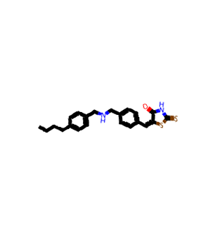 CCCCc1ccc(CNCc2ccc(/C=C3/SC(=S)NC3=O)cc2)cc1